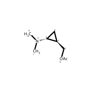 CC(=O)OC[C@@H]1C[C@H]1N(C)C